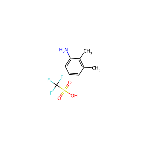 Cc1cccc(N)c1C.O=S(=O)(O)C(F)(F)F